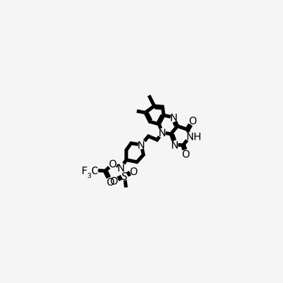 Cc1cc2nc3c(=O)[nH]c(=O)nc-3n(CCN3CCC(N(OC(=O)C(F)(F)F)S(C)(=O)=O)CC3)c2cc1C